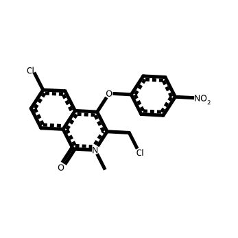 Cn1c(CCl)c(Oc2ccc([N+](=O)[O-])cc2)c2cc(Cl)ccc2c1=O